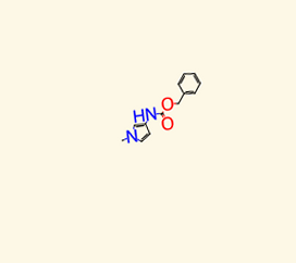 Cn1ccc(NC(=O)OCc2ccccc2)c1